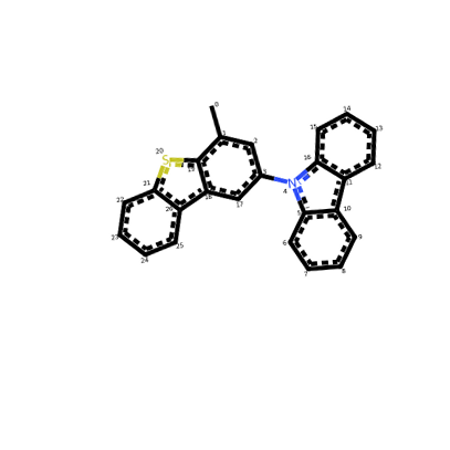 Cc1cc(-n2c3ccccc3c3ccccc32)cc2c1sc1ccccc12